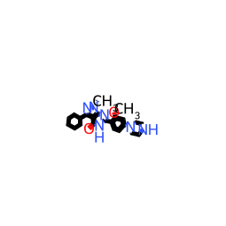 COc1cc(N2CCNCC2)ccc1-c1nc2c(c(C3CCCCC3)nn2C)c(=O)[nH]1